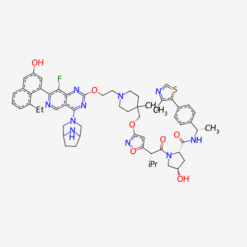 CCc1cccc2cc(O)cc(-c3ncc4c(N5CC6CCC(C5)N6)nc(OCCN5CCC(C)(COc6cc([C@H](C(=O)N7C[C@H](O)C[C@H]7C(=O)N[C@@H](C)c7ccc(-c8scnc8C)cc7)C(C)C)on6)CC5)nc4c3F)c12